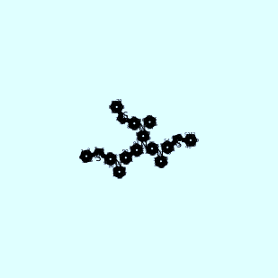 c1ccc(-c2ccc(-c3ccc(N(c4ccccc4)c4ccc(-c5ccc(N(c6ccc(N(c7ccccc7)c7ccc(-c8ccc(-c9ccccc9)s8)cc7)cc6)c6ccc(N(c7ccccc7)c7ccc(-c8ccc(-c9ccccc9)s8)cc7)cc6)cc5)cc4)cc3)s2)cc1